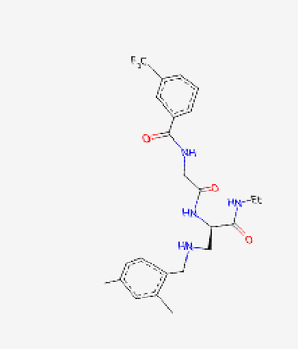 CCNC(=O)[C@@H](CNCc1ccc(C)cc1C)NC(=O)CNC(=O)c1cccc(C(F)(F)F)c1